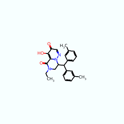 CCN1CC(C(c2cccc(C)c2)c2cccc(C)c2)n2ncc(=O)c(O)c2C1=O